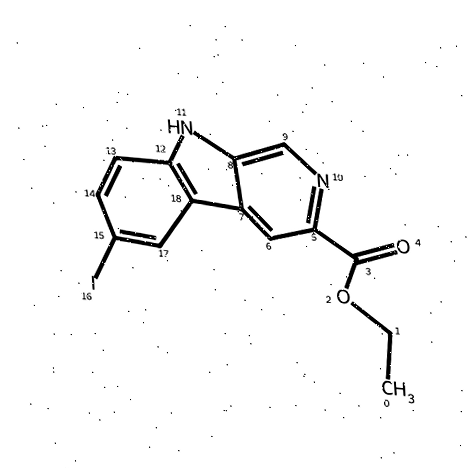 CCOC(=O)c1cc2c(cn1)[nH]c1ccc(I)cc12